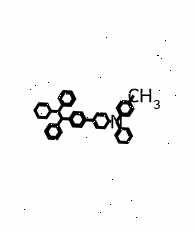 Cc1ccc(N(C2=CCCC=C2)C2C=CC(c3ccc(C(c4ccccc4)C(c4ccccc4)C4C=CCCC4)cc3)=CC2)cc1